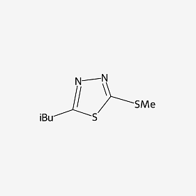 [CH2]Sc1nnc(C(C)CC)s1